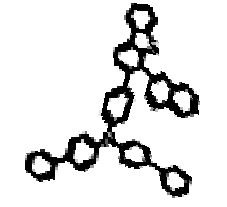 c1ccc(-c2ccc(N(c3ccc(-c4ccccc4)cc3)c3ccc(-c4ccc5c(sc6ccccc65)c4-c4ccc5ccccc5c4)cc3)cc2)cc1